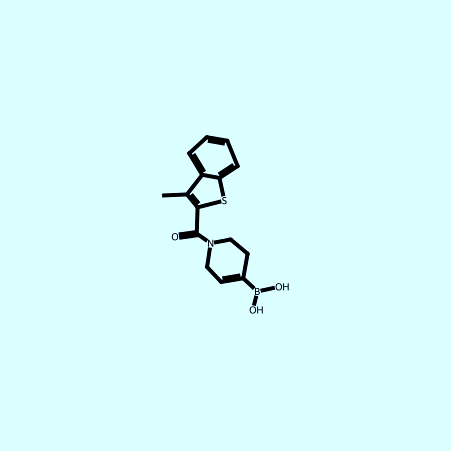 Cc1c(C(=O)N2CC=C(B(O)O)CC2)sc2ccccc12